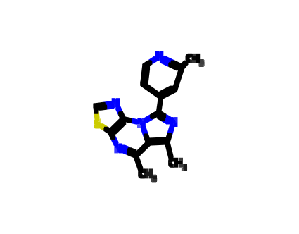 Cc1cc(-c2nc(C)c3c(C)nc4scnc4n23)ccn1